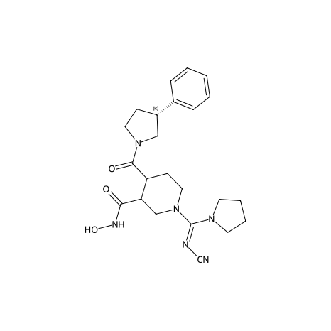 N#CN=C(N1CCCC1)N1CCC(C(=O)N2CC[C@H](c3ccccc3)C2)C(C(=O)NO)C1